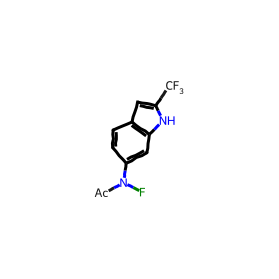 CC(=O)N(F)c1ccc2cc(C(F)(F)F)[nH]c2c1